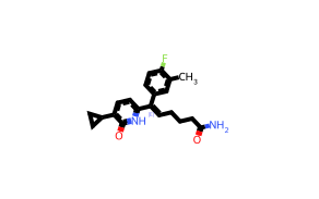 Cc1cc(/C(=C\CCCC(N)=O)c2ccc(C3CC3)c(=O)[nH]2)ccc1F